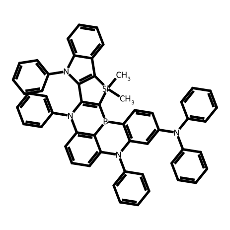 C[Si]1(C)C2=C(c3c1c1ccccc1n3-c1ccccc1)N(c1ccccc1)c1cccc3c1B2c1ccc(N(c2ccccc2)c2ccccc2)cc1N3c1ccccc1